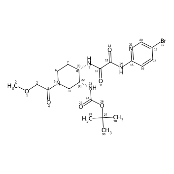 COCC(=O)N1CC[C@H](NC(=O)C(=O)Nc2ccc(Br)cn2)[C@H](NC(=O)OC(C)(C)C)C1